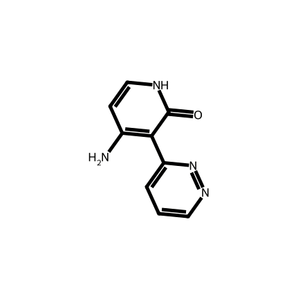 Nc1cc[nH]c(=O)c1-c1cccnn1